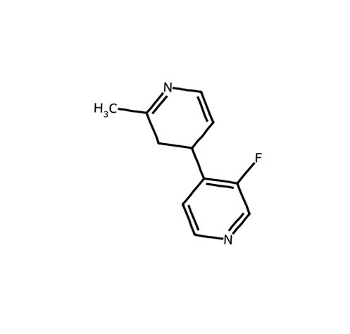 CC1=NC=CC(c2ccncc2F)C1